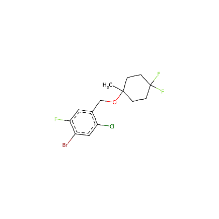 CC1(OCc2cc(F)c(Br)cc2Cl)CCC(F)(F)CC1